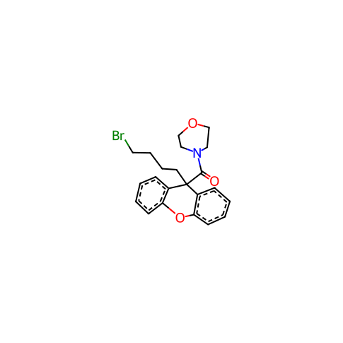 O=C(N1CCOCC1)C1(CCCCBr)c2ccccc2Oc2ccccc21